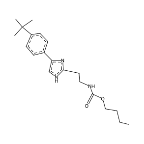 CCCCOC(=O)NCCc1nc(-c2ccc(C(C)(C)C)cc2)c[nH]1